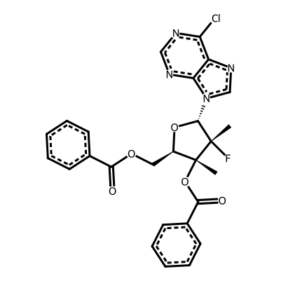 C[C@]1(F)[C@@H](n2cnc3c(Cl)ncnc32)O[C@H](COC(=O)c2ccccc2)[C@@]1(C)OC(=O)c1ccccc1